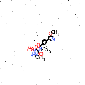 CNC(=O)C(C(=O)NO)N(C)C(=O)c1ccc(-c2cncc(OC)c2)cc1